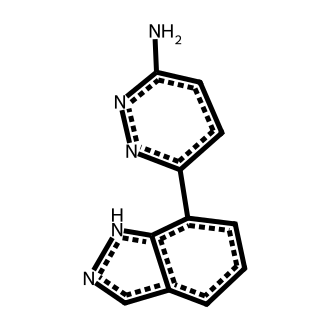 Nc1ccc(-c2cccc3cn[nH]c23)nn1